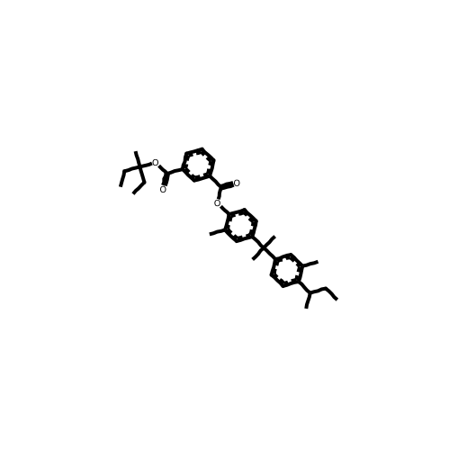 CCC(C)c1ccc(C(C)(C)c2ccc(OC(=O)c3cccc(C(=O)OC(C)(CC)CC)c3)c(C)c2)cc1C